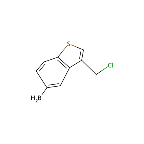 Bc1ccc2scc(CCl)c2c1